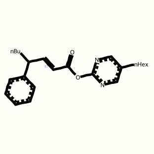 CCCCCCc1cnc(OC(=O)/C=C/C(CCCC)c2ccccc2)nc1